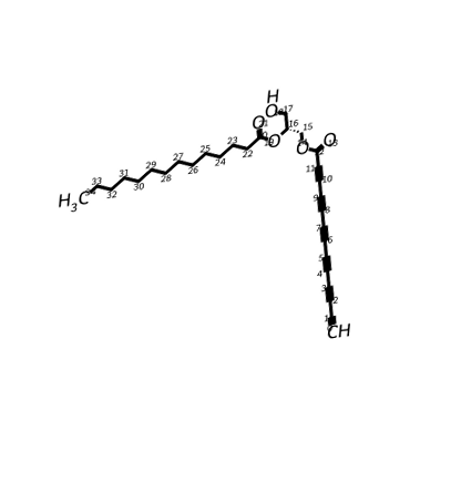 C#CC#CC#CC#CC#CC#CC(=O)OC[C@@H](CO)OC(=O)CCCCCCCCCCCCC